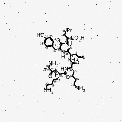 C=CC[C@@H](NC(=O)[C@H](CCCCN)NC(=O)[C@H](CCCCN)NC(=O)[C@@H](C)N)C(=O)N[C@@H](Cc1ccc(O)cc1)C(=O)N[C@@H](CC(C)C)C(=O)O